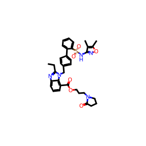 CCc1nc2cccc(C(=O)OCCCN3CCCC3=O)c2n1Cc1ccc(-c2ccccc2S(=O)(=O)Nc2noc(C)c2C)cc1